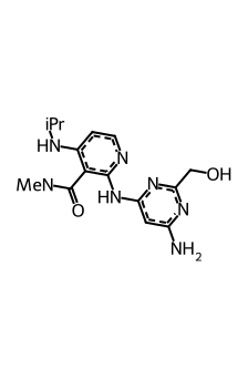 CNC(=O)c1c(NC(C)C)ccnc1Nc1cc(N)nc(CO)n1